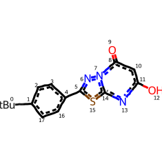 CC(C)(C)c1ccc(-c2nn3c(=O)cc(O)nc3s2)cc1